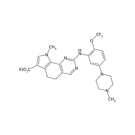 CCOC(=O)c1cn(C)c2c1CCc1cnc(Nc3cc(N4CCN(C)CC4)ccc3OC(F)(F)F)nc1-2